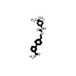 CC1(C)CCC(NC(=O)OCCc2ccc(-c3cccc(C(N)=O)c3)cc2)CC1